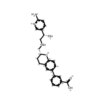 Nc1ccc([C@H](O)CNC[C@H]2CCc3cc(-c4cccc(C(=O)O)c4)ccc3O2)cn1